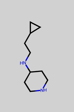 C1CC(NCCC2CC2)CCN1